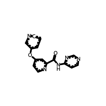 O=C(Nc1ccncn1)c1cc(Oc2cccnc2)ccn1